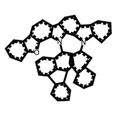 c1ccc2c(c1)-c1cccc3c(-n4c5c(ccc6c7ccccc7oc65)c5ccc6c7ccccc7n(-c7ccc8ccccc8c7)c6c54)ccc-2c13